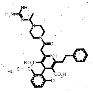 CC(N=C(N)N)N1CCN(C(=O)CC2=C(C(=O)O)C(c3c(Cl)cccc3Cl)C(C(=O)O)=C(CCc3ccccc3)N2)CC1.Cl.Cl